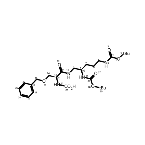 CC(C)(C)OC(=O)NCCC[C@H](CNC(=O)[C@H](COCc1ccccc1)NC(=O)O)NC(=O)OC(C)(C)C